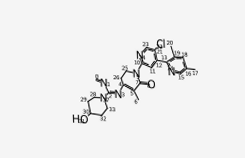 C=N/C(=N\C1=C(C)C(=O)N(c2cc(-c3ncc(C)cc3C)c(Cl)cn2)CC1)N1CCC(O)CC1